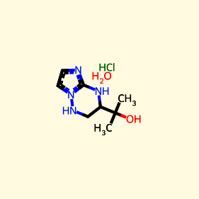 CC(C)(O)C1CNn2ccnc2N1.Cl.O